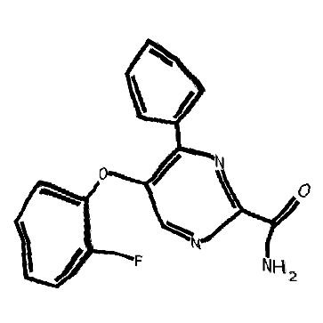 NC(=O)c1ncc(Oc2ccccc2F)c(-c2ccccc2)n1